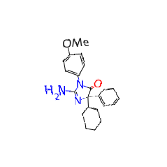 COc1ccc(N2C(=O)C(c3ccccc3)(C3CCCCC3)N=C2N)cc1